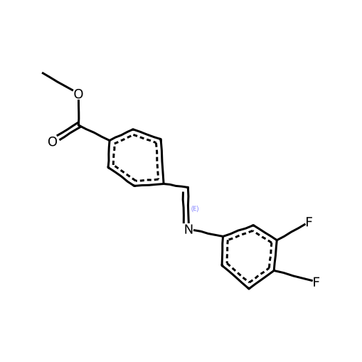 COC(=O)c1ccc(/C=N/c2ccc(F)c(F)c2)cc1